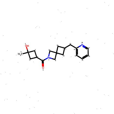 CC1(O)CC(C(=O)N2CC3(CC(Cc4ccccn4)C3)C2)C1